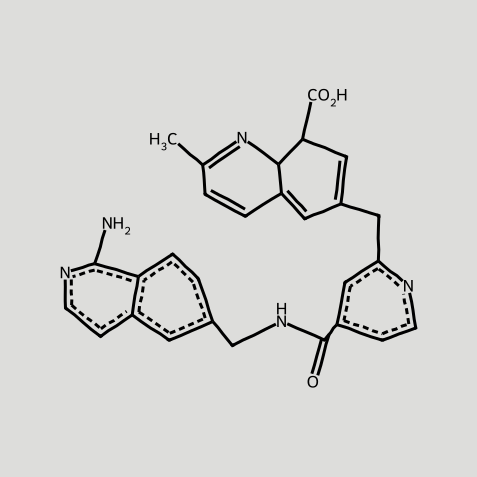 CC1=NC2C(=CC(Cc3cc(C(=O)NCc4ccc5c(N)nccc5c4)ccn3)=CC2C(=O)O)C=C1